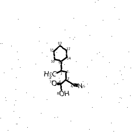 CC(CC(C#N)C(=O)O)C1CCCCC1